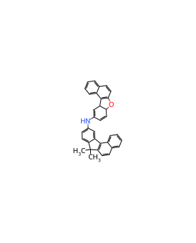 CC1(C)c2ccc(NC3=CC4c5c(ccc6ccccc56)OC4C=C3)cc2-c2c1ccc1ccccc21